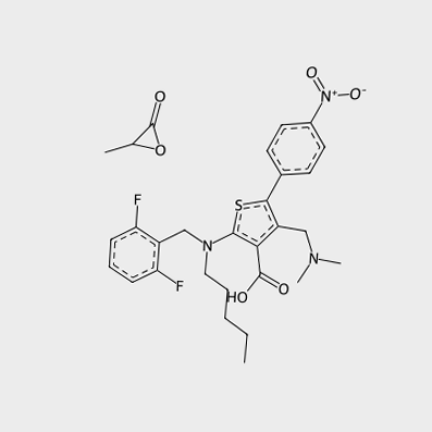 CC1OC1=O.CCCCCN(Cc1c(F)cccc1F)c1sc(-c2ccc([N+](=O)[O-])cc2)c(CN(C)C)c1C(=O)O